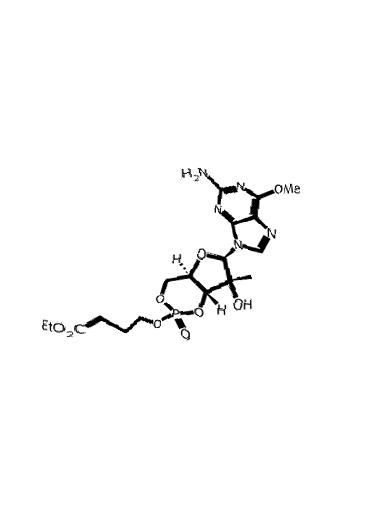 CCOC(=O)CCCOP1(=O)OC[C@H]2O[C@@H](n3cnc4c(OC)nc(N)nc43)[C@](C)(O)[C@@H]2O1